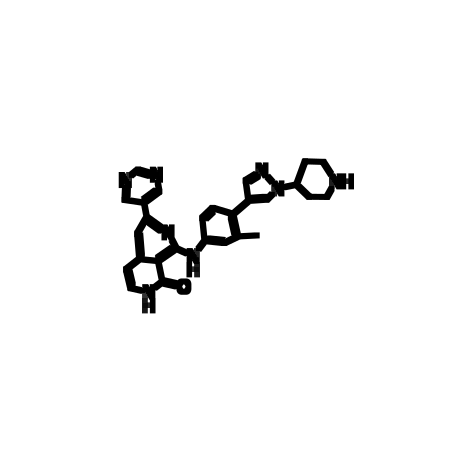 Cc1cc(Nc2nc(-c3cncnc3)cc3cc[nH]c(=O)c23)ccc1-c1cnn(C2CCNCC2)c1